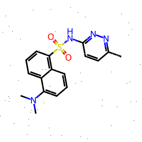 Cc1ccc(NS(=O)(=O)c2cccc3c(N(C)C)cccc23)nn1